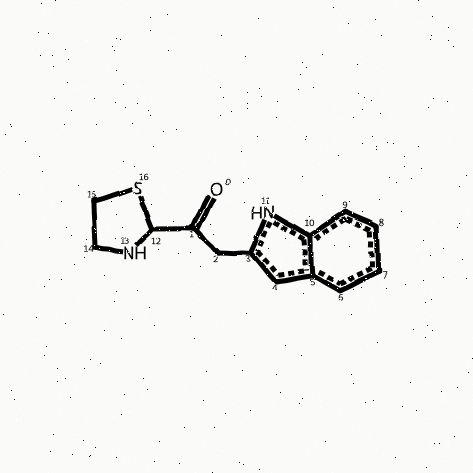 O=C([CH]c1cc2ccccc2[nH]1)C1NCCS1